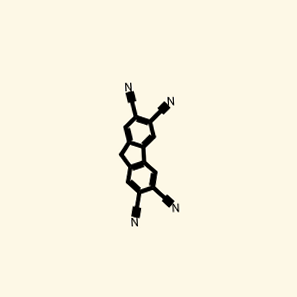 N#Cc1cc2c(cc1C#N)-c1cc(C#N)c(C#N)cc1C2